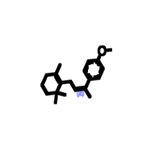 COc1ccc(/C(C)=C\CC2=C(C)CCCC2(C)C)cc1